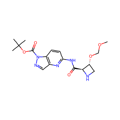 COCO[C@@H]1CN[C@H]1C(=O)Nc1ccc2c(cnn2C(=O)OC(C)(C)C)n1